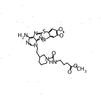 COC(=O)CCCNC(=O)N1CCCC(CCn2cnc(N)c3nc(Sc4cc5c(cc4Br)OCO5)nc2-3)C1